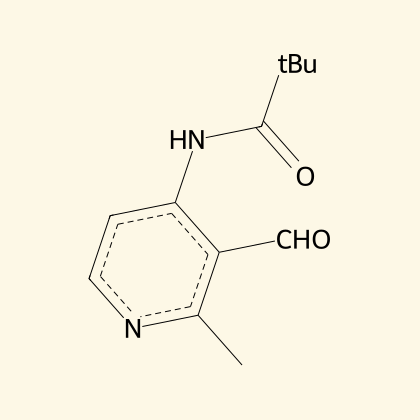 Cc1nccc(NC(=O)C(C)(C)C)c1C=O